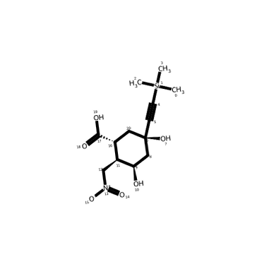 C[Si](C)(C)C#C[C@]1(O)C[C@@H](O)[C@@H](C[N+](=O)[O-])[C@H](C(=O)O)C1